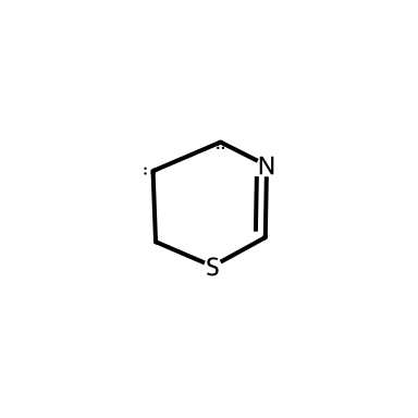 [C]1[C]N=CSC1